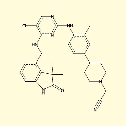 Cc1cc(C2CCN(CC#N)CC2)ccc1Nc1ncc(Cl)c(NCc2cccc3c2C(C)(C)C(=O)N3)n1